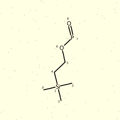 C[Si](C)(C)CCOP=O